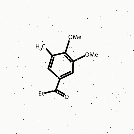 [CH2]CC(=O)c1cc(C)c(OC)c(OC)c1